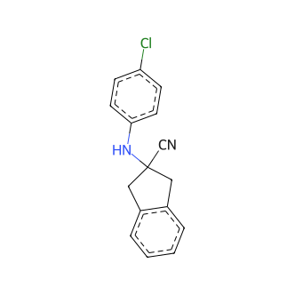 N#CC1(Nc2ccc(Cl)cc2)Cc2ccccc2C1